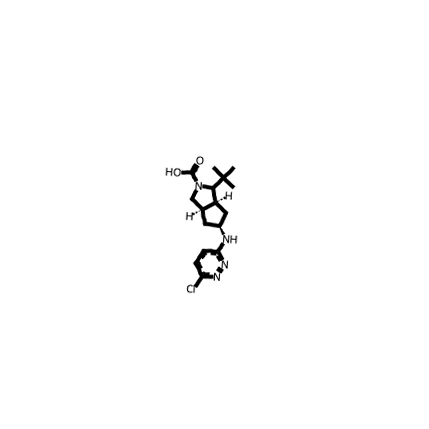 CC(C)(C)C1[C@H]2C[C@@H](Nc3ccc(Cl)nn3)C[C@H]2CN1C(=O)O